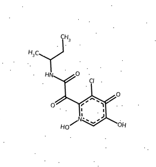 CCC(C)NC(=O)C(=O)c1c(Cl)c(=O)c(O)cn1O